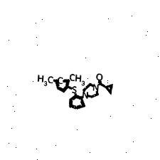 Cc1ccc(Sc2ccccc2N2CCN(C(=O)C3CC3)CC2)c(C)c1